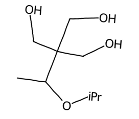 CC(C)OC(C)C(CO)(CO)CO